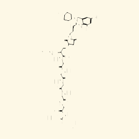 CC(=O)NC(CSC1CC(=O)N(CCCCN(Cc2cc(Br)cc(Br)c2N)[C@H]2CC[C@H](O)CC2)C1=O)C(=O)NCC(=O)NCC(=O)NCC(=O)NCC(=O)NCC(=O)NC(C)C(=O)O